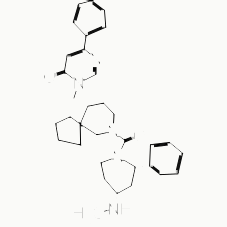 CN[C@@H]1CCN(C(=O)N2CC[C@@H](Cn3cnc(-c4ccccc4)cc3=O)C3(CCCC3)C2)[C@H](c2ccccc2)C1